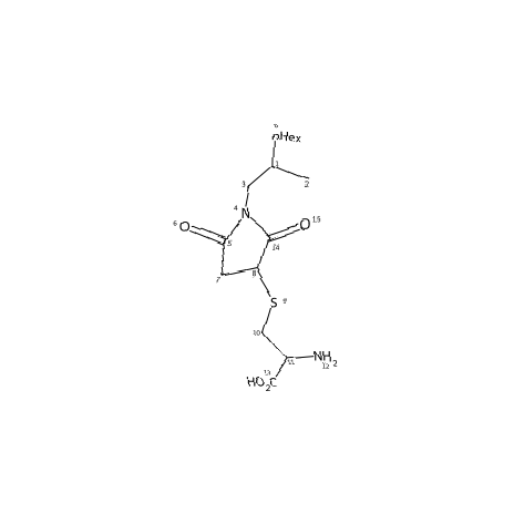 CCCCCCC(C)CN1C(=O)CC(SCC(N)C(=O)O)C1=O